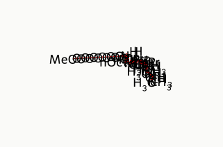 CCCCCCCC[C@H](NC(=O)[C@@H]1CCCN1C(=O)CCOCCOCCOCCOCCOCCOCCOCCOCCOCCOCCOCCOC)C(=O)/N=C\C(CC(C)C)C(=O)NC(C)(C)C(=O)N[C@@H](CC(C)C)C(=O)/N=C/C(CC(C)C)C(=O)NC(C)(C)C(=O)NC(C)(C)C(=O)NCCC(=O)N[C@@H](C)CN(C)C